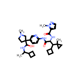 CC(NC(O)C1(c2ccc(NC(=O)[C@@H](NC(=O)c3ccnn3C)C(C3CCC3)C3(C)CC3)nc2)CCN(C)C1)C1CCC1